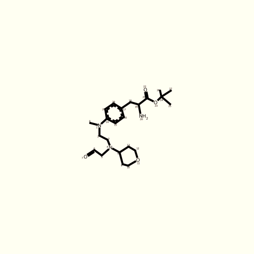 CN(CCN(CC=O)C1CCOCC1)c1ccc(CC(N)C(=O)OC(C)(C)C)cc1